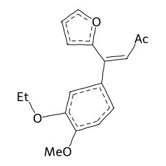 CCOc1cc(C(=CC(C)=O)c2ccco2)ccc1OC